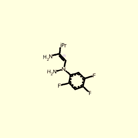 CC(C)/C(N)=C/N(N)c1cc(F)c(F)cc1F